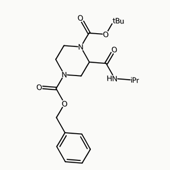 CC(C)NC(=O)C1CN(C(=O)OCc2ccccc2)CCN1C(=O)OC(C)(C)C